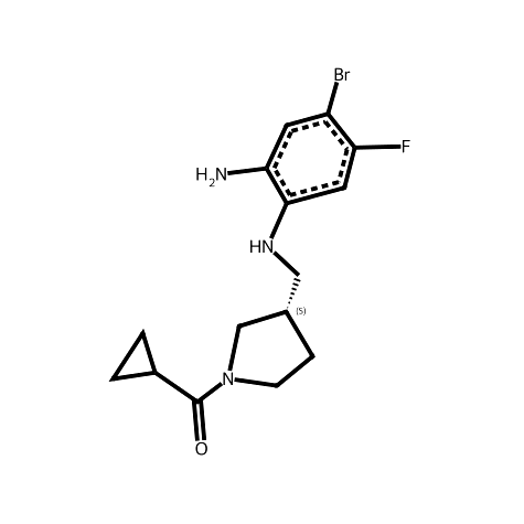 Nc1cc(Br)c(F)cc1NC[C@@H]1CCN(C(=O)C2CC2)C1